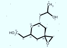 CC(O)C[C@@H]1C[C@]2(CO2)CC(CC(=O)O)O1